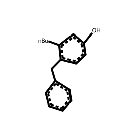 CCCCc1cc(O)ccc1Cc1ccccc1